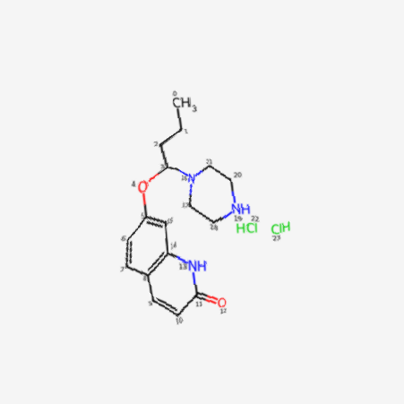 CCCC(Oc1ccc2ccc(=O)[nH]c2c1)N1CCNCC1.Cl.Cl